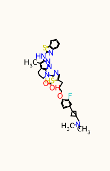 Cc1c(Nc2nc3ccccc3s2)nnc2c1CCCN2C1=NC=C(CCCOc2ccc(C34CC(CN(C)C)(C3)C4)cc2F)[SH]1C(=O)O